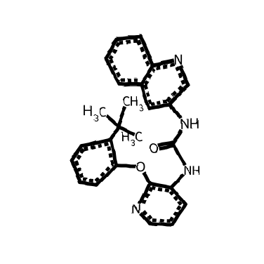 CC(C)(C)c1ccccc1Oc1ncccc1NC(=O)Nc1cnc2ccccc2c1